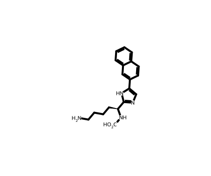 NCCCC[C@H](NC(=O)O)c1ncc(-c2ccc3ccccc3c2)[nH]1